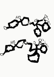 CN(C)C(=O)C(CCN1CCC(O)(c2ccc(Cl)cc2)CC1)(c1ccccc1)c1ccccc1.CN(C)C(=O)C(CCN1CCC(O)(c2ccc(Cl)cc2)CC1)(c1ccccc1)c1ccccc1